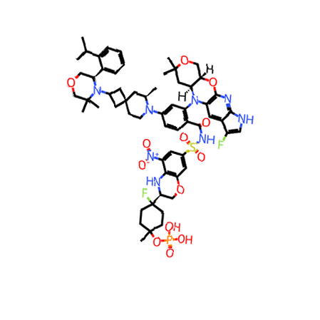 CC(C)c1ccccc1[C@@H]1COCC(C)(C)N1C1CC2(CCN(c3ccc(C(=O)NS(=O)(=O)c4cc5c(c([N+](=O)[O-])c4)N[C@H](C4(F)CCC(C)(OP(=O)(O)O)CC4)CO5)c(N4c5cc6c(F)c[nH]c6nc5O[C@H]5COC(C)(C)C[C@@H]54)c3)[C@H](C)C2)C1